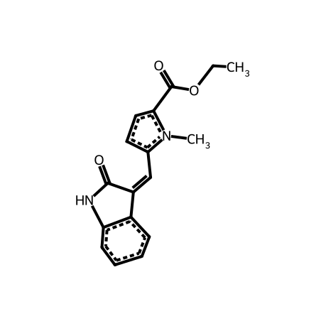 CCOC(=O)c1ccc(C=C2C(=O)Nc3ccccc32)n1C